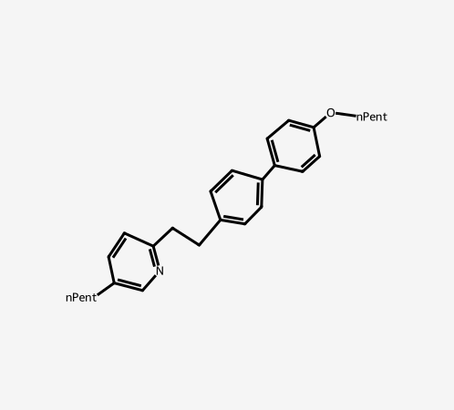 CCCCCOc1ccc(-c2ccc(CCc3ccc(CCCCC)cn3)cc2)cc1